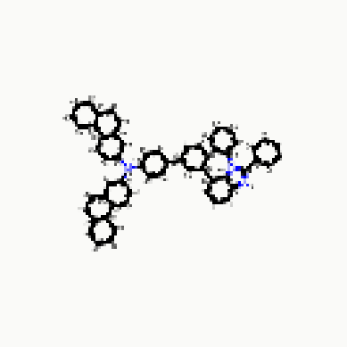 c1ccc(-c2nc3cccc(-c4cccc(-c5ccc(N(c6ccc7c(ccc8ccccc87)c6)c6ccc7c(ccc8ccccc87)c6)cc5)c4)c3n2-c2ccccc2)cc1